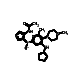 CC(=O)Nc1cscc1[S+]([O-])c1cc(NC2CCCC2)c(N2CCN(C)CC2)c(C)n1